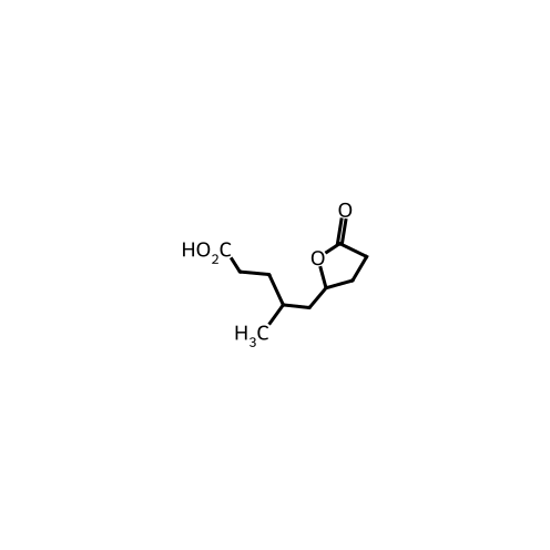 CC(CCC(=O)O)CC1CCC(=O)O1